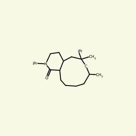 CC1CCCCC2C(=O)N(C(C)C)CCC2CC(C)(C(C)C)C1